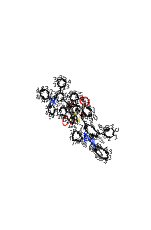 c1ccc(-c2cc(-c3cc4c(s3)C3(c5ccccc5Oc5ccccc53)c3cc(-c5cc(-c6ccccc6)cc(N(c6ccccc6)c6ccccc6)c5)sc3C43c4ccccc4Oc4ccccc43)cc(N(c3ccccc3)c3ccccc3)c2)cc1